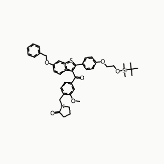 COc1cc(C(=O)c2c(-c3ccc(OCCO[Si](C)(C)C(C)(C)C)cc3)sc3cc(OCc4ccccc4)ccc23)ccc1CN1CCCC1=O